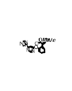 COC=C(C(=O)OC)c1ccccc1Oc1cc(-n2cncn2)ncn1